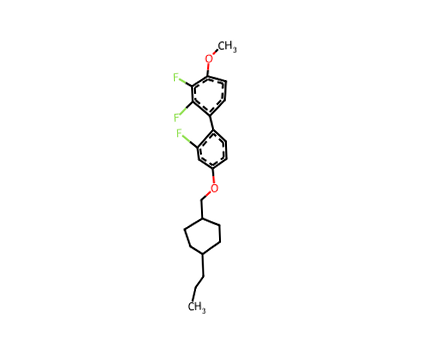 CCCC1CCC(COc2ccc(-c3ccc(OC)c(F)c3F)c(F)c2)CC1